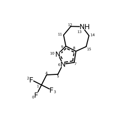 FC(F)(F)CCn1cc2c(n1)CCNCC2